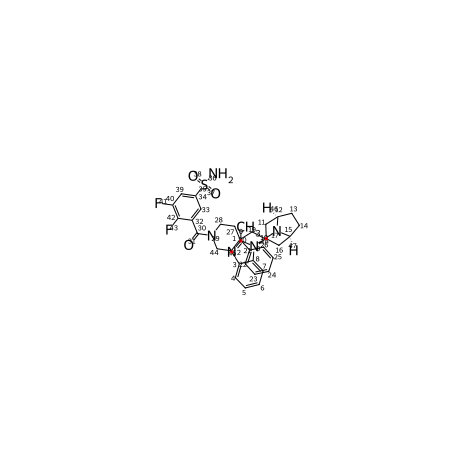 Cc1nc2ccccc2n1[C@H]1C[C@H]2CC[C@@H](C1)N2CCC1(c2ccccc2)CCN(C(=O)c2cc(S(N)(=O)=O)cc(F)c2F)CC1